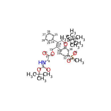 CC(C)(C)OC(=O)NCC(=O)OCC(=C(CO[Si](C)(C)C(C)(C)C)c1ccccc1)c1ccc(S(C)(=O)=O)cc1